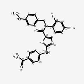 COc1ccc(CN(C(=O)c2cnc(Nc3ccc(C(C)=O)cc3)s2)c2ccc(F)cc2F)cc1